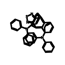 C1=CC2(N(c3ccccc3)c3ccccc3)CC=C1c1c2c2c3nsnc3c1C1=CCC2(N(c2ccccc2)c2ccccc2)C=C1